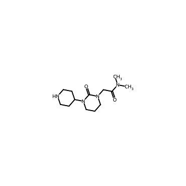 CN(C)C(=O)CN1CCCN(C2CCNCC2)C1=O